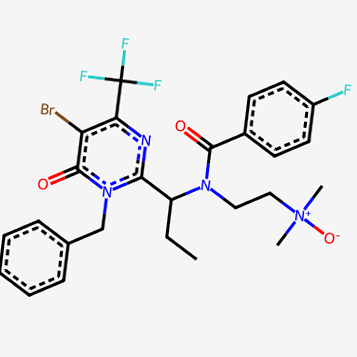 CCC(c1nc(C(F)(F)F)c(Br)c(=O)n1Cc1ccccc1)N(CC[N+](C)(C)[O-])C(=O)c1ccc(F)cc1